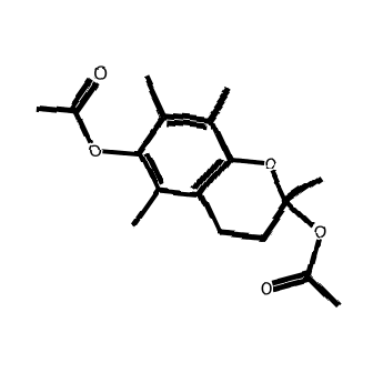 CC(=O)Oc1c(C)c(C)c2c(c1C)CCC(C)(OC(C)=O)O2